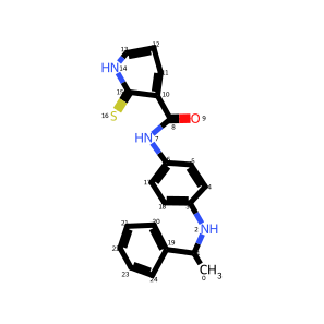 CC(Nc1ccc(NC(=O)c2ccc[nH]c2=S)cc1)c1ccccc1